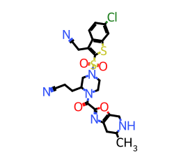 CC1Cc2nc(C(=O)N3CCN(S(=O)(=O)c4sc5cc(Cl)ccc5c4CC#N)CC3CCC#N)oc2CN1